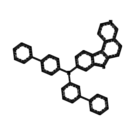 c1ccc(-c2ccc(N(c3cccc(-c4ccccc4)c3)c3ccc4c(c3)sc3ccc5cnccc5c34)cc2)cc1